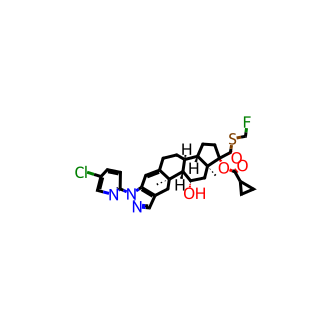 C[C@]12Cc3cnn(-c4ccc(Cl)cn4)c3C=C1CC[C@@H]1[C@@H]2[C@@H](O)C[C@@]2(C)[C@H]1CC[C@]2(OC(=O)C1CC1)C(=O)SCF